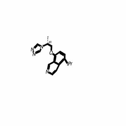 CC(C)c1ccc(OC[C@@H](C)n2cnnc2)c2cnccc12